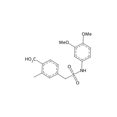 COc1ccc(NS(=O)(=O)Cc2ccc(C(=O)O)c(C)c2)cc1OC